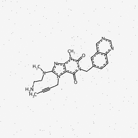 CC#CCn1c(N(C)CCN)nc2c1c(=O)n(Cc1ccc3ncncc3c1)c(=O)n2C